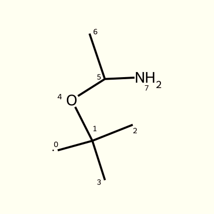 [CH2]C(C)(C)OC(C)N